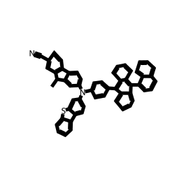 CC1c2cc(C#N)ccc2-c2ccc(N(c3ccc(-c4c5ccccc5c(-c5cccc6ccccc56)c5ccccc45)cc3)c3ccc4c(c3)sc3ccccc34)cc21